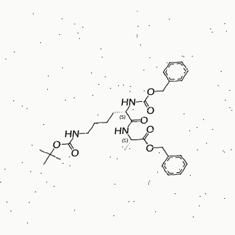 C[C@H](NC(=O)[C@H](CCCCNC(=O)OC(C)(C)C)NC(=O)OCc1ccccc1)C(=O)OCc1ccccc1